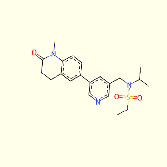 CCS(=O)(=O)N(Cc1cncc(-c2ccc3c(c2)CCC(=O)N3C)c1)C(C)C